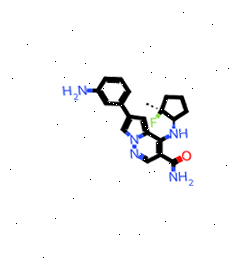 C[C@]1(F)CCC[C@H]1Nc1c(C(N)=O)cnn2cc(-c3cccc(N)c3)cc12